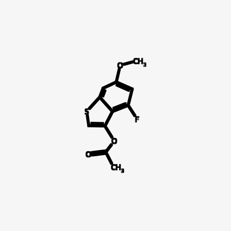 COc1cc(F)c2c(OC(C)=O)csc2c1